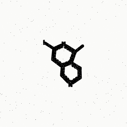 Cc1nc(I)cc2cnccc12